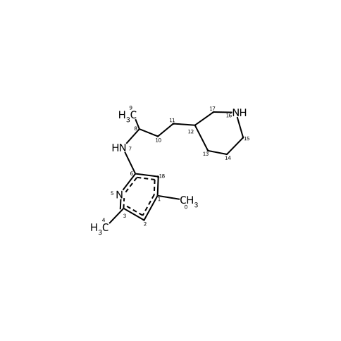 Cc1cc(C)nc(NC(C)CCC2CCCNC2)c1